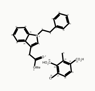 COC(=O)Cc1cn(CCc2ccccc2)c2ccccc12.Cc1c(C(=O)O)ccc(Cl)c1C(=O)O